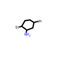 CCC1CCC(C(C)C)CC1N